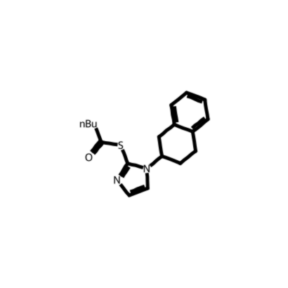 CCCCC(=O)Sc1nccn1C1CCc2ccccc2C1